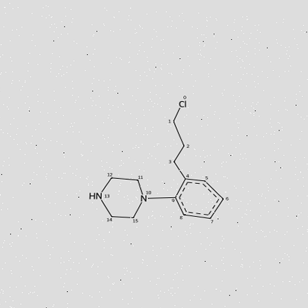 ClCCCc1ccccc1N1CCNCC1